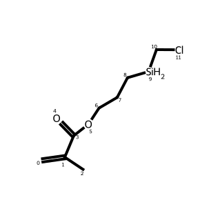 C=C(C)C(=O)OCCC[SiH2]CCl